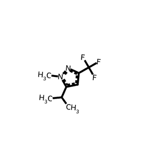 CC(C)c1cc(C(F)(F)F)nn1C